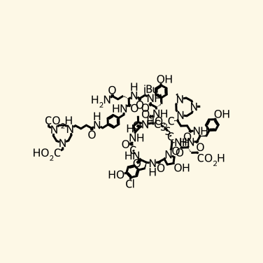 CCC(C)[C@H](NC(=O)[C@H](Cc1ccc(O)cc1)NC(=O)[C@@H]1CSSC[C@H](NC(=O)[C@@H](CCC(=O)O)NC(=O)[C@H](Cc2ccc(O)cc2)NC(=O)CC[C@H](C(=O)O)N2CCN(C)CCN(C)CC2)C(=O)N2C[C@H](O)CC2C(=O)N[C@@H](Cc2ccc(O)c(Cl)c2)C(=O)NCC(=O)N[C@H]2CC(C)N1C2=O)C(=O)N[C@@H](CCC(N)=O)C(=O)NCc1ccc(CNC(=O)CCCN2CCN(CC(=O)O)CCN(CC(=O)O)CC2)cc1